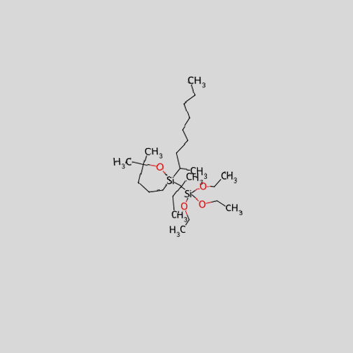 CCCCCCCC(C)[Si]1(C(C)(CC)[Si](OCC)(OCC)OCC)CCCC(C)(C)O1